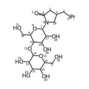 CC(C)CC1CC(=O)N(C2OC(CO)C(OC3OC(CO)C(O)C(O)C3O)C(O)C2O)C1